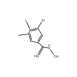 CCc1cc(C(=N)NO)cc(C)c1I